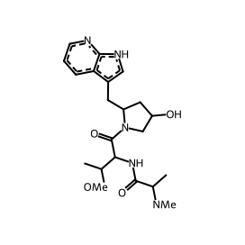 CNC(C)C(=O)NC(C(=O)N1CC(O)CC1Cc1c[nH]c2ncccc12)C(C)OC